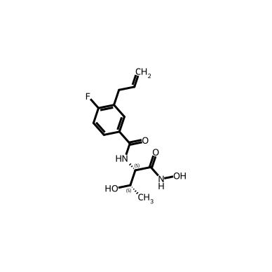 C=CCc1cc(C(=O)N[C@H](C(=O)NO)[C@H](C)O)ccc1F